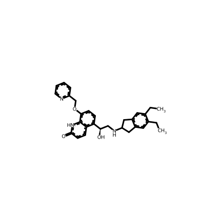 CCc1cc2c(cc1CC)CC(NC[C@@H](O)c1ccc(OCc3ccccn3)c3[nH]c(=O)ccc13)C2